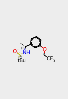 C[C@@H](N[S@+]([O-])C(C)(C)C)c1cccc(OCC(F)(F)F)c1